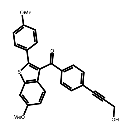 COc1ccc(-c2sc3cc(OC)ccc3c2C(=O)c2ccc(C#CCO)cc2)cc1